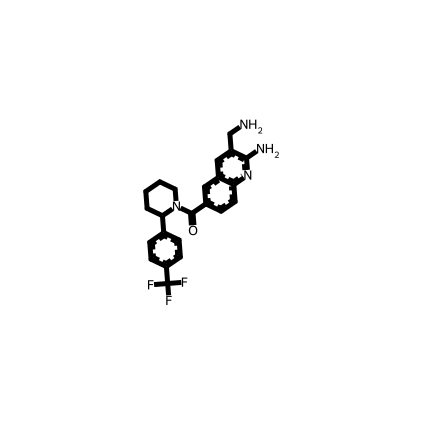 NCc1cc2cc(C(=O)N3CCCCC3c3ccc(C(F)(F)F)cc3)ccc2nc1N